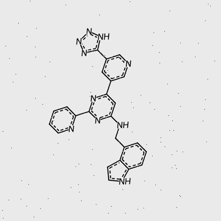 c1ccc(-c2nc(NCc3cccc4[nH]ccc34)cc(-c3cncc(-c4nnn[nH]4)c3)n2)nc1